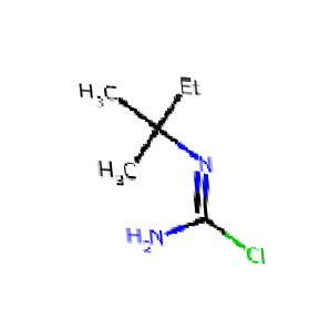 CCC(C)(C)/N=C(\N)Cl